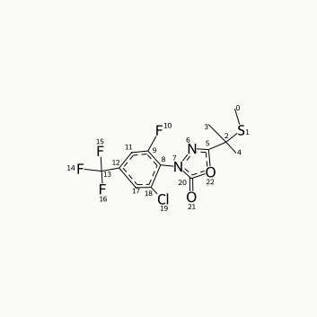 CSC(C)(C)c1nn(-c2c(F)cc(C(F)(F)F)cc2Cl)c(=O)o1